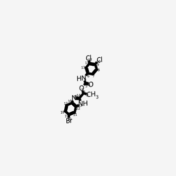 CC(OC(=O)Nc1ccc(Cl)c(Cl)c1)c1nc2ccc(Br)cc2[nH]1